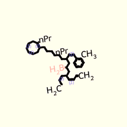 BC(CC(/C=C\C=C)/C=C\C=C)CC(CCCCCC/C1=C(\CCC)C/C=C\C=C/C1)/C(=C\c1ccccc1C)CCC